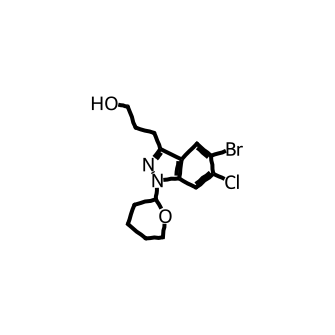 OCCCc1nn(C2CCCCO2)c2cc(Cl)c(Br)cc12